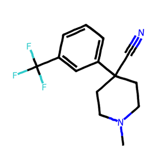 CN1CCC(C#N)(c2cccc(C(F)(F)F)c2)CC1